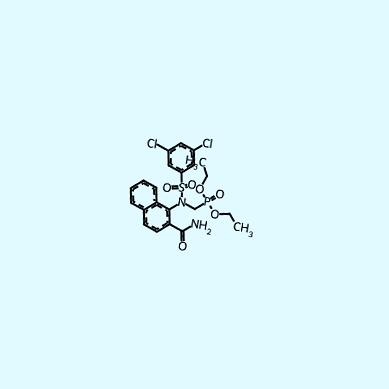 CCOP(=O)(CN(c1c(C(N)=O)ccc2ccccc12)S(=O)(=O)c1cc(Cl)cc(Cl)c1)OCC